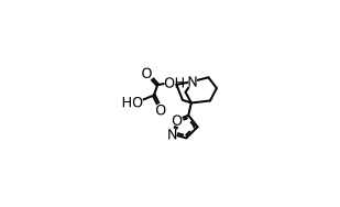 O=C(O)C(=O)O.c1cc(C23CCCN(CC2)C3)on1